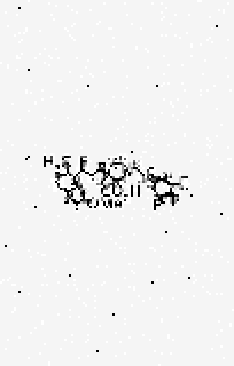 COc1ccc2ncc(C)c(C(F)CCC3(CC(=O)O)CCN(CCSc4cc(F)c(F)c(F)c4)CC3)c2c1